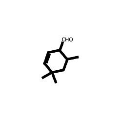 CC1CC(C)(C)C=CC1C=O